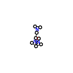 c1ccc(N2B3c4c(cccc4-c4ccccc4N3c3ccc(-c4ccc(-n5c6ccccc6c6ccccc65)cc4)cc3)-c3ccccc32)cc1